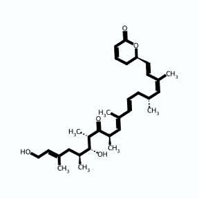 CC(=C/[C@H](C)C/C=C/C(C)=C/[C@@H](C)C(=O)[C@@H](C)[C@H](O)[C@@H](C)C/C(C)=C/CO)/C=C/[C@H]1CC=CC(=O)O1